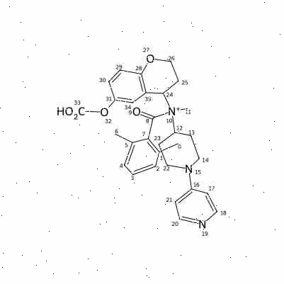 Cc1cccc(C)c1C(=O)[N+](C)(C1CCN(c2ccncc2)CC1)C1CCOc2ccc(OC(=O)O)cc21